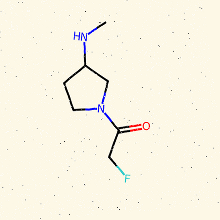 CNC1CCN(C(=O)CF)C1